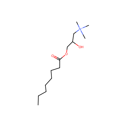 CCCCCCCC(=O)OCC(O)C[N+](C)(C)C